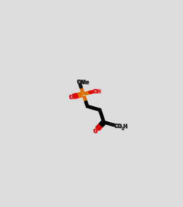 COP(=O)(O)CCC(=O)C(=O)O